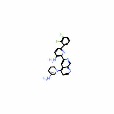 Nc1ccc(-c2cccc(F)c2F)nc1-c1cc2c(N3CCC[C@H](N)C3)ccnc2cn1